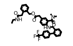 CCNC(=O)Cc1ccccc1COC(=O)Cc1ccc(NC(=O)c2ccccc2-c2ccc(C(F)(F)F)cc2)c(C(=O)N(C)C)c1